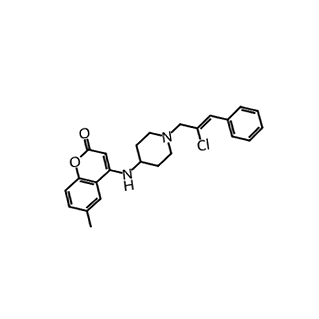 Cc1ccc2oc(=O)cc(NC3CCN(C/C(Cl)=C/c4ccccc4)CC3)c2c1